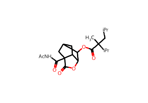 CC(=O)NC(=O)C12CC3CC1C(OC2=O)C3OC(=O)C(C)(CC(C)C)C(C)C